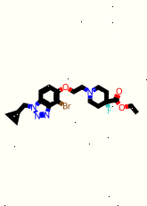 CCOC(=O)C1(F)CCN(CCOc2ccc3c(nnn3CC3CC3)c2Br)CC1